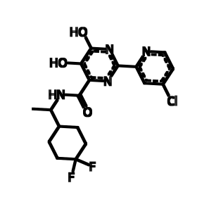 CC(NC(=O)c1nc(-c2cc(Cl)ccn2)nc(O)c1O)C1CCC(F)(F)CC1